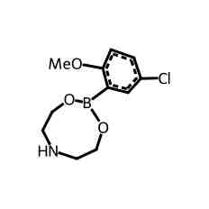 COc1ccc(Cl)cc1B1OCCNCCO1